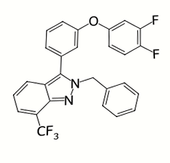 Fc1ccc(Oc2cccc(-c3c4cccc(C(F)(F)F)c4nn3Cc3ccccc3)c2)cc1F